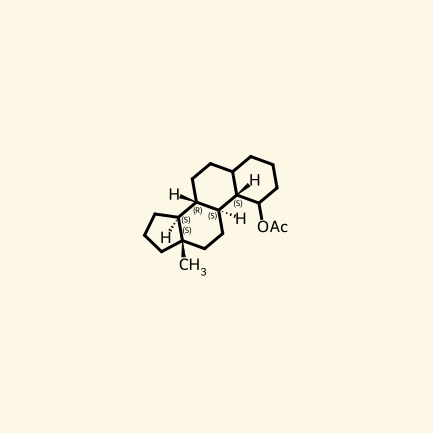 CC(=O)OC1CCCC2CC[C@@H]3[C@H](CC[C@]4(C)CCC[C@@H]34)[C@H]21